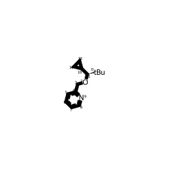 CC(C)(C)[C@H](OCc1ccccn1)C1CC1